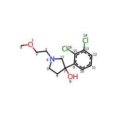 COCCN1CCC(O)(c2cccc(Cl)c2Cl)C1